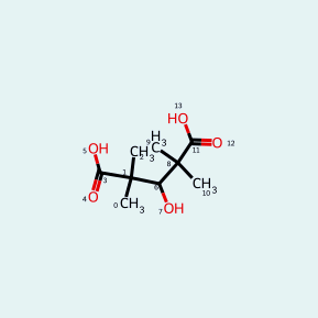 CC(C)(C(=O)O)C(O)C(C)(C)C(=O)O